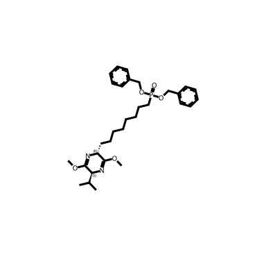 COC1=N[C@H](CCCCCCCCP(=O)(OCc2ccccc2)OCc2ccccc2)C(OC)=N[C@H]1C(C)C